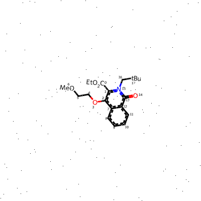 CCOC(=O)c1c(OCCOC)c2ccccc2c(=O)n1CC(C)(C)C